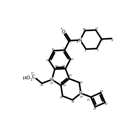 CC1CCN(C(=O)c2ccc3c(c2)c2c(n3CC(=O)O)CCN(C3=CC=C3)C2)CC1